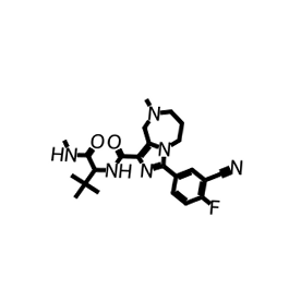 CNC(=O)C(NC(=O)c1nc(-c2ccc(F)c(C#N)c2)n2c1CN(C)CCC2)C(C)(C)C